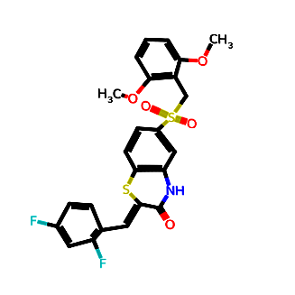 COc1cccc(OC)c1CS(=O)(=O)c1ccc2c(c1)NC(=O)/C(=C/c1ccc(F)cc1F)S2